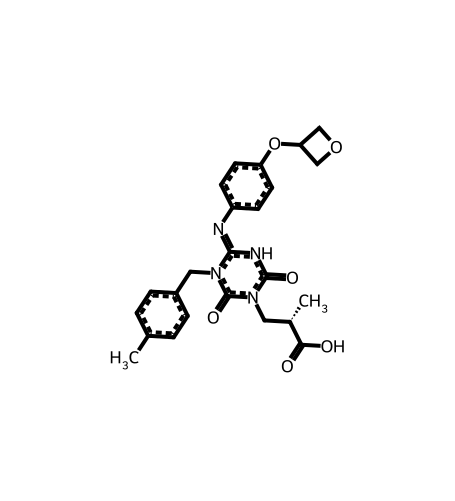 Cc1ccc(Cn2c(=O)n(C[C@H](C)C(=O)O)c(=O)[nH]/c2=N\c2ccc(OC3COC3)cc2)cc1